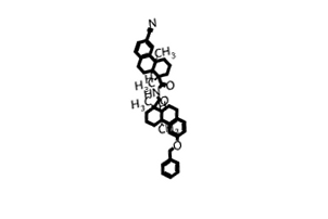 C[C@]1(C(=O)NC(=O)[C@@]2(C)CCC[C@]3(C)c4cc(OCc5ccccc5)ccc4CC[C@@H]23)CCC[C@]2(C)c3cc(C#N)ccc3CC[C@@H]12